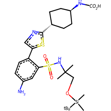 CC(C)(CO[Si](C)(C)C(C)(C)C)NS(=O)(=O)c1cc(N)ccc1-c1cnc([C@H]2CC[C@H](NC(=O)O)CC2)s1